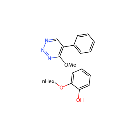 CCCCCCOc1ccccc1O.COc1nnncc1-c1ccccc1